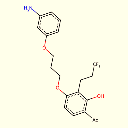 CC(=O)c1ccc(OCCCOc2cccc(N)c2)c(CCC(F)(F)F)c1O